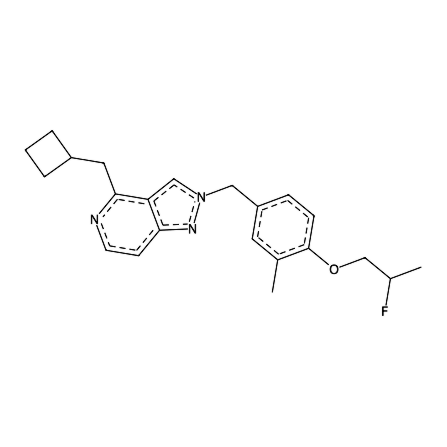 Cc1cc(Cn2cc3c(CC4CCC4)nccc3n2)ccc1OCC(C)F